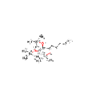 C=CCCCC(O[Si](C)(C)C)C(CO[Si](C)(C)C)O[Si](C)(C)C